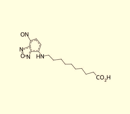 O=Nc1ccc(NCCCCCCCCCC(=O)O)c2nonc12